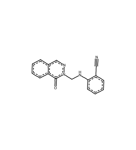 N#Cc1ccccc1NCn1ncc2ccccc2c1=O